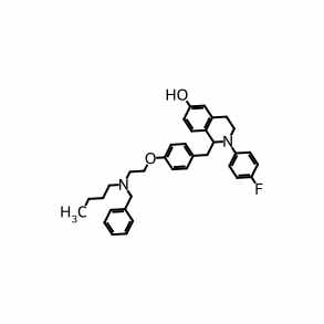 CCCCN(CCOc1ccc(CC2c3ccc(O)cc3CCN2c2ccc(F)cc2)cc1)Cc1ccccc1